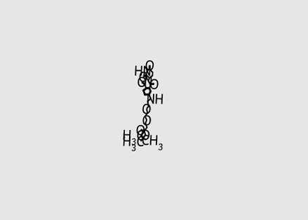 CC(C)(C)OC(=O)CCOCCOCCNc1ccc2c(c1)C(=O)N(C1CCC(=O)NC1=O)C2=O